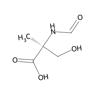 C[C@@](CO)(NC=O)C(=O)O